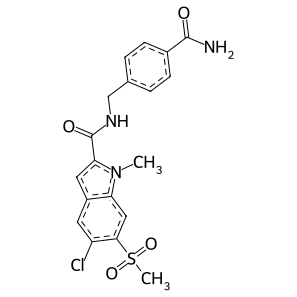 Cn1c(C(=O)NCc2ccc(C(N)=O)cc2)cc2cc(Cl)c(S(C)(=O)=O)cc21